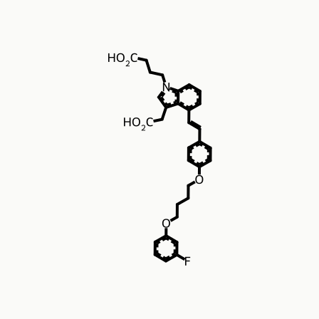 O=C(O)CCCn1cc(CC(=O)O)c2c(C=Cc3ccc(OCCCCOc4cccc(F)c4)cc3)cccc21